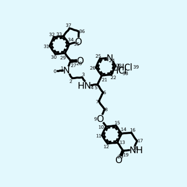 CN(CCNC(CCCOc1ccc2c(c1)CCNC2=O)c1ccncc1)C(=O)c1cccc2c1OCC2.Cl.Cl